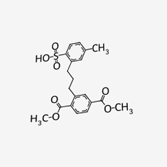 COC(=O)c1ccc(C(=O)OC)c(CCCc2cc(C)ccc2S(=O)(=O)O)c1